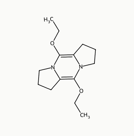 CCOC1=C2CCCN2C(OCC)=C2CCCN21